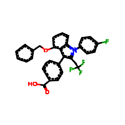 O=C(O)c1ccc(-c2c(C(F)(F)F)n(-c3ccc(F)cc3)c3cccc(OCc4ccccc4)c23)cc1